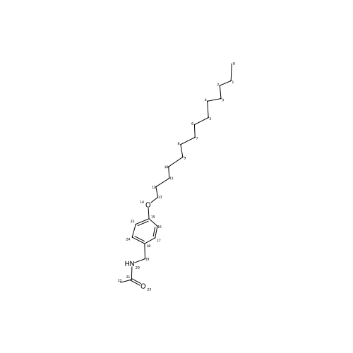 CCCCCCCCCCCCCCOc1ccc(CNC(C)=O)cc1